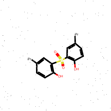 CC(C)c1ccc(O)c(S(=O)(=O)c2cc(C(C)C)ccc2O)c1